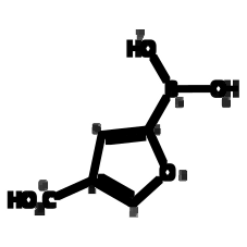 O=C(O)c1coc(B(O)O)c1